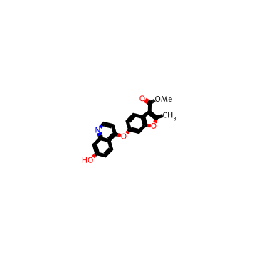 COC(=O)c1c(C)oc2cc(Oc3ccnc4cc(O)ccc34)ccc12